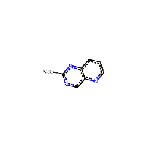 COc1ncc2ncccc2n1